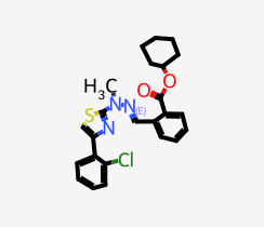 CN(/N=C/c1ccccc1C(=O)OC1CCCCC1)c1nc(-c2ccccc2Cl)cs1